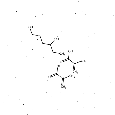 C=C(C)C(=O)O.C=C(C)C(=O)O.CCC(O)CCCO